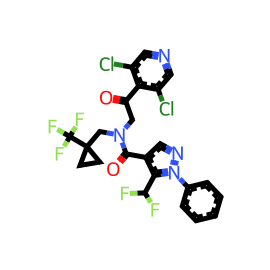 O=C(CN(CC1(C(F)(F)F)CC1)C(=O)c1cnn(-c2ccccc2)c1C(F)F)c1c(Cl)cncc1Cl